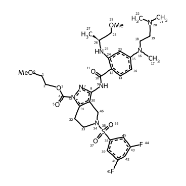 COCCOC(=O)n1nc(NC(=O)c2ccc(N(C)CCN(C)C)cc2N[C@@H](C)COC)c2c1CCN(S(=O)(=O)c1cc(F)cc(F)c1)C2